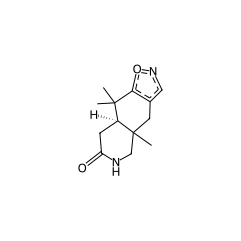 CC12CNC(=O)C[C@H]1C(C)(C)c1oncc1C2